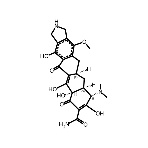 COc1c2c(c(O)c3c1C[C@H]1C[C@H]4[C@H](N(C)C)C(O)=C(C(N)=O)C(=O)[C@@]4(O)C(O)=C1C3=O)CNC2